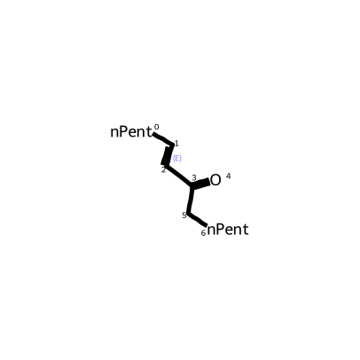 CCCCC/C=C/C(=O)CCCCCC